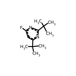 CC(C)(C)c1cc(F)nc(C(C)(C)C)n1